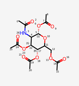 CC(=O)NC1[C@H](OC(C)=O)OC(COC(C)=O)[C@H](OC(C)=O)[C@H]1OC(C)=O